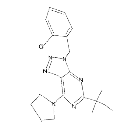 CC(C)(C)c1nc(N2C[CH]CC2)c2nnn(Cc3ccccc3Cl)c2n1